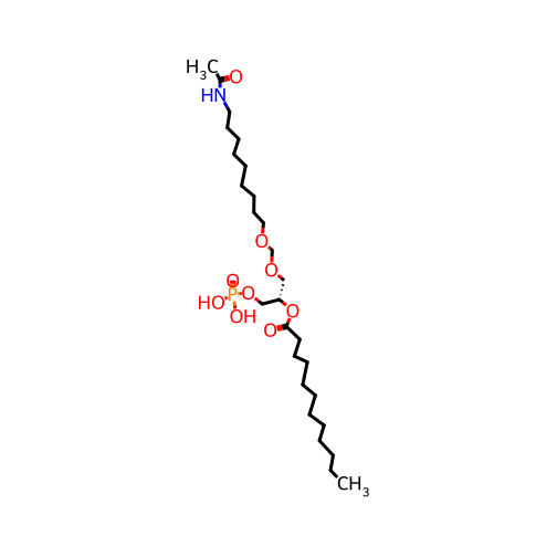 CCCCCCCCCCCC(=O)O[C@@H](COCOCCCCCCCCCNC(C)=O)COP(=O)(O)O